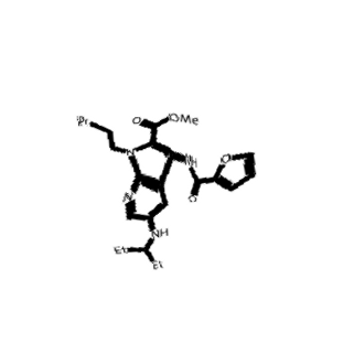 CCC(CC)Nc1cnc2c(c1)c(NC(=O)c1ccco1)c(C(=O)OC)n2CCC(C)C